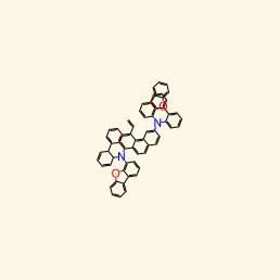 C=Cc1ccc(N(c2cccc3c2oc2ccccc23)C2C=CC=CC2c2ccccc2)c2ccc3ccc(N(c4ccccc4-c4ccccc4)c4cccc5c4oc4ccccc45)cc3c12